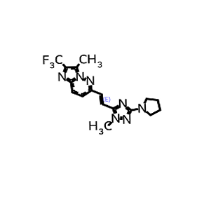 Cc1c(C(F)(F)F)nc2ccc(/C=C/c3nc(N4CCCC4)nn3C)nn12